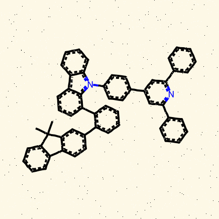 CC1(C)c2ccccc2-c2ccc(-c3ccccc3-c3cccc4c5ccccc5n(-c5ccc(-c6cc(-c7ccccc7)nc(-c7ccccc7)c6)cc5)c34)cc21